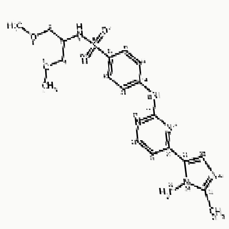 COCC(COC)NS(=O)(=O)c1ccc(Nc2nccc(-c3cnc(C)n3C)n2)cc1